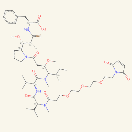 CC[C@H](C)C([C@@H](CC(=O)N1CCC[C@H]1[C@H](OC)[C@@H](C)C(=S)N[C@@H](Cc1ccccc1)C(=O)O)OC)N(C)C(=O)[C@@H](NC(=O)[C@H](C(C)C)N(C)C(=O)CCOCCOCCOCCN1C(=O)C=CC1=O)C(C)C